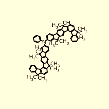 CC1(C)c2cc(N(c3ccccc3)c3ccc4c(c3)C(C)(C)c3cc5c(cc3-4)C(C)(C)c3ccc4c(c3-5)-c3ccccc3C4(C)C)ccc2-c2cc3c(cc21)-c1c(ccc2c1-c1ccccc1C2(C)C)C3(C)C